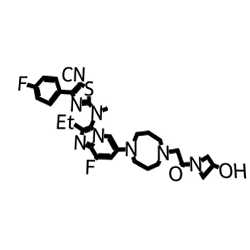 CCc1nc2c(F)cc(N3CCCN(CC(=O)N4CC(O)C4)CCC3)cn2c1N(C)c1nc(-c2ccc(F)cc2)c(C#N)s1